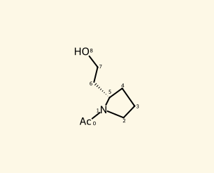 CC(=O)N1CCC[C@H]1CCO